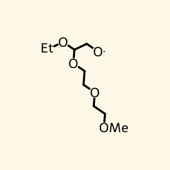 CCOC(C[O])OCCOCCOC